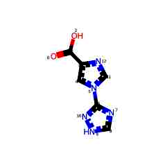 O=C(O)c1cn(-c2nc[nH]n2)cn1